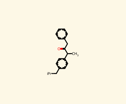 CC(C)Cc1ccc(C(C)C(=O)Cc2ccccc2)cc1